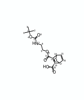 CC(C)(C)OC(=O)NCCOC(=O)[C@H]1C2C=CC(O2)[C@H]1C(=O)O